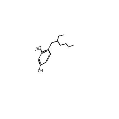 CCCCC(CC)Cc1ccc(O)cc1O